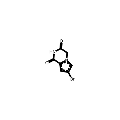 O=C1Cn2cc(Br)cc2C(=O)N1